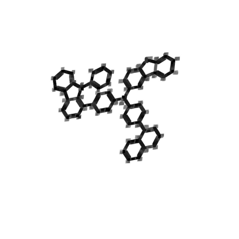 c1ccc(-n2c3ccccc3c3cccc(-c4ccc(N(c5ccc(-c6cccc7ccccc67)cc5)c5ccc6sc7ccccc7c6c5)cc4)c32)cc1